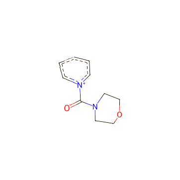 O=C(N1CCOCC1)[n+]1ccccc1